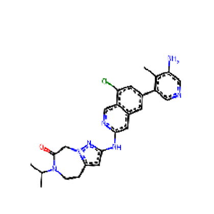 Cc1c(N)cncc1-c1cc(Cl)c2cnc(Nc3cc4n(n3)CC(=O)N(C(C)C)CC4)cc2c1